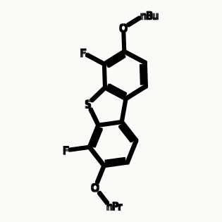 CCCCOc1ccc2c(sc3c(F)c(OCCC)ccc32)c1F